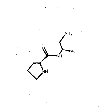 CC(=O)[C@H](CN)NC(=O)[C@@H]1CCCN1